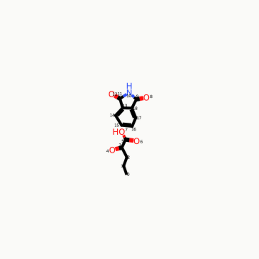 CCCC(=O)C(=O)O.O=C1NC(=O)c2ccccc21